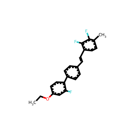 CCOc1ccc(-c2ccc(/C=C/c3ccc(C)c(F)c3F)cc2)c(F)c1